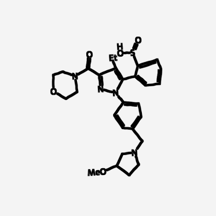 CCc1c(C(=O)N2CCOCC2)nn(-c2ccc(CN3CCC(OC)C3)cc2)c1-c1ccccc1S(=O)O